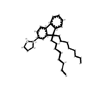 CCCCCCCCC1(CCCCCCCC)c2ccccc2-c2ccc(B3CCCO3)cc21